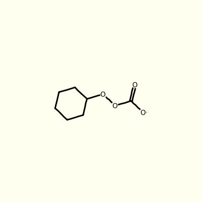 [O]C(=O)OOC1CCCCC1